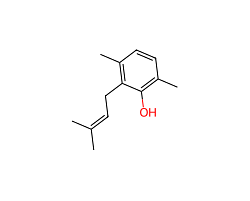 CC(C)=CCc1c(C)ccc(C)c1O